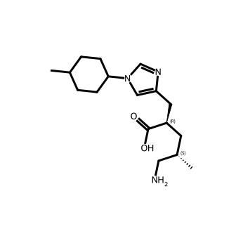 CC1CCC(n2cnc(C[C@@H](C[C@H](C)CN)C(=O)O)c2)CC1